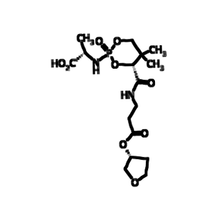 C[C@H](NP1(=O)OCC(C)(C)[C@H](C(=O)NCCC(=O)O[C@@H]2CCOC2)O1)C(=O)O